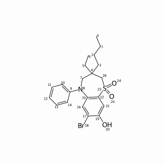 CCCCC1(CC)CN(c2ccccc2)c2cc(Br)c(O)cc2S(=O)(=O)C1